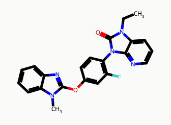 CCn1c(=O)n(-c2ccc(Oc3nc4ccccc4n3C)cc2F)c2ncccc21